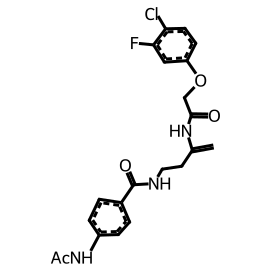 C=C(CCNC(=O)c1ccc(NC(C)=O)cc1)NC(=O)COc1ccc(Cl)c(F)c1